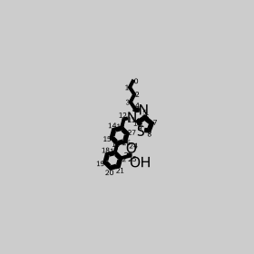 CCCCc1nc2ccsc2n1Cc1ccc(-c2ccccc2C(=O)O)cc1